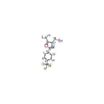 CC(C)c1oc(-c2ccc(C(C)(F)F)cc2)nc1CI